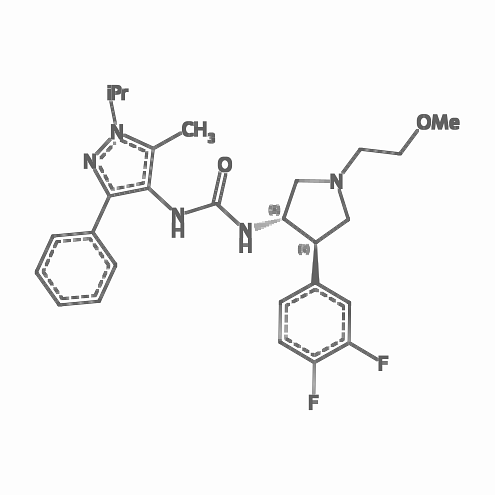 COCCN1C[C@@H](NC(=O)Nc2c(-c3ccccc3)nn(C(C)C)c2C)[C@H](c2ccc(F)c(F)c2)C1